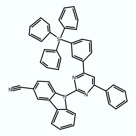 N#Cc1ccc2c(c1)c1ccccc1n2-c1nc(-c2ccccc2)cc(-c2cccc([Si](c3ccccc3)(c3ccccc3)c3ccccc3)c2)n1